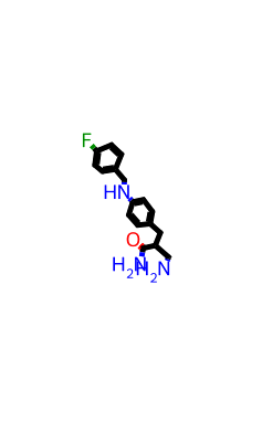 NCC(Cc1ccc(NCc2ccc(F)cc2)cc1)C(N)=O